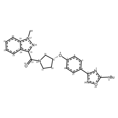 CCCCc1nc(-c2ccc(O[C@@H]3CCN(C(=O)c4nn(C)c5ccccc45)C3)cc2)no1